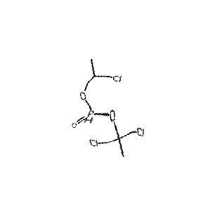 CC(Cl)O[PH](=O)OC(C)(Cl)Cl